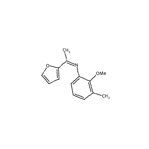 COc1c(C)cccc1N=C(C)c1ccco1